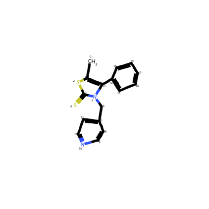 Cc1sc(=S)n(Cc2ccncc2)c1-c1ccccc1